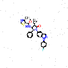 Cc1ncsc1C(=O)NC1C(C)C(=O)N(c2ccc3c(cnn3-c3ccc(F)cc3)c2)C1c1ccccc1